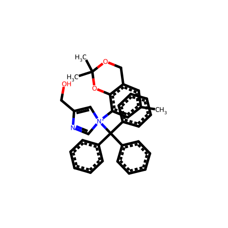 Cc1cc2c(c([N+]3(C(c4ccccc4)(c4ccccc4)c4ccccc4)C=NC(CO)=C3)c1)OC(C)(C)OC2